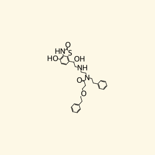 O=C(CCOCCc1ccccc1)N(CCNCC(O)c1ccc(O)c2[nH]c(=O)sc12)CCc1ccccc1